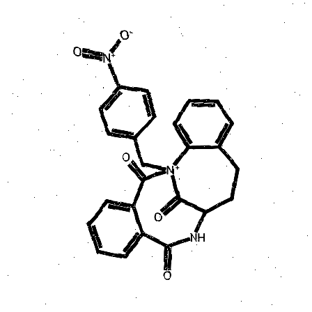 O=C1NC2CCc3ccccc3[N+](Cc3ccc([N+](=O)[O-])cc3)(C(=O)c3ccccc31)C2=O